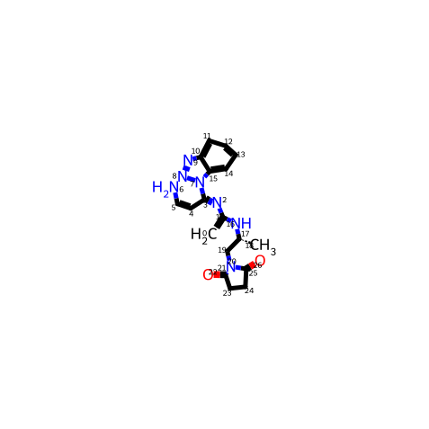 C=C(/N=C(\C=C/N)n1nnc2ccccc21)N[C@H](C)CN1C(=O)CCC1=O